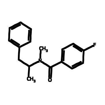 CC(Cc1ccccc1)N(C)C(=O)c1ccc(F)cc1